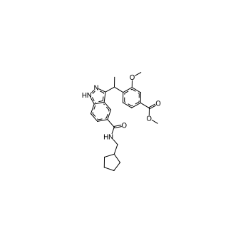 COC(=O)c1ccc(C(C)c2n[nH]c3ccc(C(=O)NCC4CCCC4)cc23)c(OC)c1